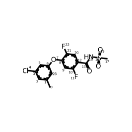 Cc1cc(Cl)cc(Oc2cc(F)c(C(=O)NS(C)(=O)=O)cc2F)c1